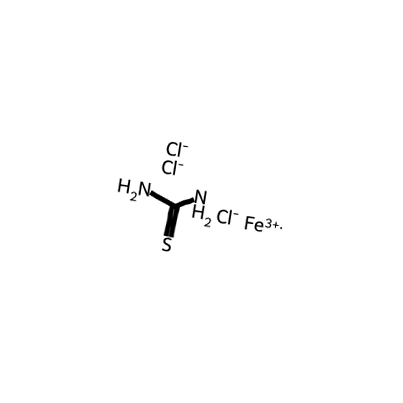 NC(N)=S.[Cl-].[Cl-].[Cl-].[Fe+3]